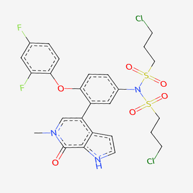 Cn1cc(-c2cc(N(S(=O)(=O)CCCCl)S(=O)(=O)CCCCl)ccc2Oc2ccc(F)cc2F)c2cc[nH]c2c1=O